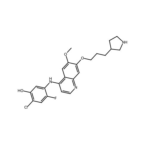 COc1cc2c(Nc3cc(O)c(Cl)cc3F)ccnc2cc1OCCCC1CCNC1